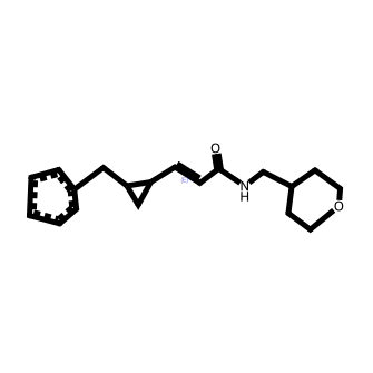 O=C(/C=C/C1CC1Cc1ccccc1)NCC1CCOCC1